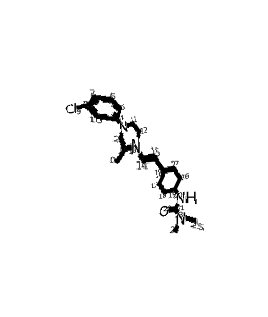 CC1CN(c2cccc(Cl)c2)CCN1CCC1CCC(NC(=O)N(C)C)CC1